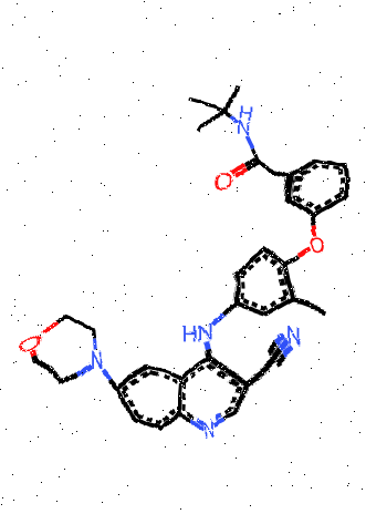 Cc1cc(Nc2c(C#N)cnc3ccc(N4CCOCC4)cc23)ccc1Oc1cccc(C(=O)NC(C)(C)C)c1